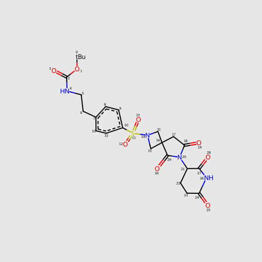 CC(C)(C)OC(=O)NCCc1ccc(S(=O)(=O)N2CC3(CC(=O)N(C4CCC(=O)NC4=O)C3=O)C2)cc1